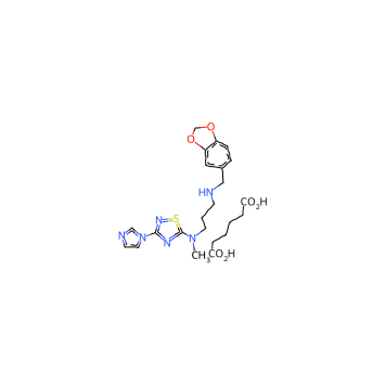 CN(CCCNCc1ccc2c(c1)OCO2)c1nc(-n2ccnc2)ns1.O=C(O)CCCCC(=O)O